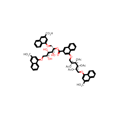 CC(=O)O[C@H]([C@H](OC(C)=O)[C@H](COc1cc(C(=O)O)cc2ccccc12)OC(C)=O)[C@@H](COc1cc(C(=O)O[C@@H](COc2cc(C(=O)O)cc3ccccc23)[C@@H](O)[C@@H](O)[C@H](O)COc2cc(C(=O)O)cc3ccccc23)cc2ccccc12)OC(C)=O